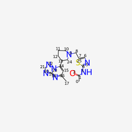 CC(=O)Nc1ncc(CN2CCCC(c3cc(C)nc4ncnn34)C2)s1